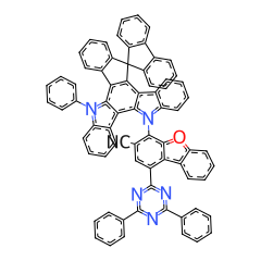 N#Cc1cc(-c2nc(-c3ccccc3)nc(-c3ccccc3)n2)c2c(oc3ccccc32)c1-n1c2ccccc2c2c3c(c4c(c5ccccc5n4-c4ccccc4)c21)-c1ccccc1C31c2ccccc2-c2ccccc21